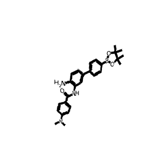 CN(C)c1ccc(C(=O)Nc2cc(-c3ccc(B4OC(C)(C)C(C)(C)O4)cc3)ccc2N)cc1